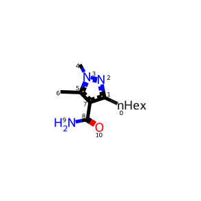 CCCCCCc1nn(C)c(C)c1C(N)=O